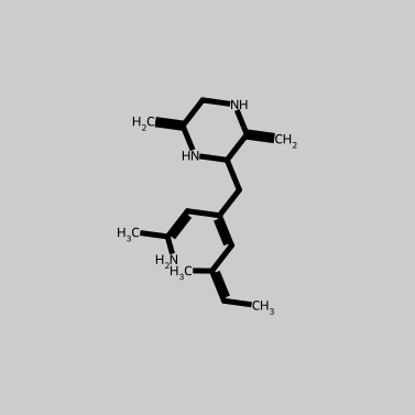 C=C1CNC(=C)C(CC(/C=C(/C)N)=C/C(C)=C\C)N1